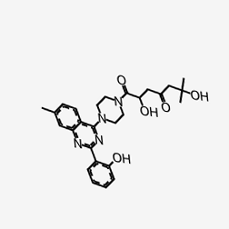 Cc1ccc2c(N3CCN(C(=O)C(O)CC(=O)CC(C)(C)O)CC3)nc(-c3ccccc3O)nc2c1